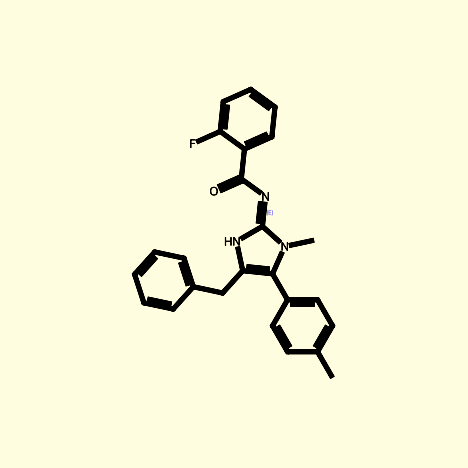 Cc1ccc(-c2c(Cc3ccccc3)[nH]/c(=N\C(=O)c3ccccc3F)n2C)cc1